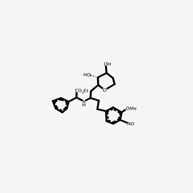 CCOC(=O)C(NC(CCc1ccc(N=O)c(OC)c1)CC1OCCC(O)[C@H]1O)c1ccccc1